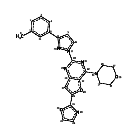 Cc1cccc(-c2ccn(-c3nc(N4CCOCC4)c4oc(-c5ncco5)cc4n3)n2)c1